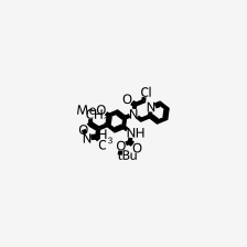 COc1cc(N(Cc2ccccn2)C(=O)CCl)c(NC(=O)OC(C)(C)C)cc1-c1c(C)noc1C